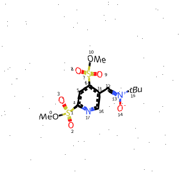 COS(=O)(=O)c1cc(S(=O)(=O)OC)c(C=[N+]([O-])C(C)(C)C)cn1